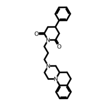 O=C1CC(c2ccccc2)CC(=O)N1CCCN1CCN2c3ccccc3CCC2C1